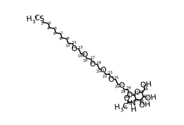 CSCCCCCCCCCCOCCOCCOCCOCCOCCOCCOC1OC(CO)C(O)C(O)C1NC(C)=O